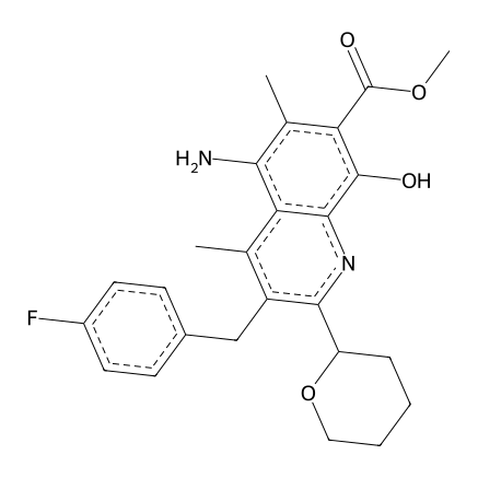 COC(=O)c1c(C)c(N)c2c(C)c(Cc3ccc(F)cc3)c(C3CCCCO3)nc2c1O